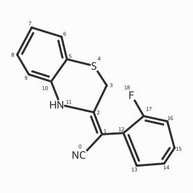 N#CC(=C1CSc2ccccc2N1)c1ccccc1F